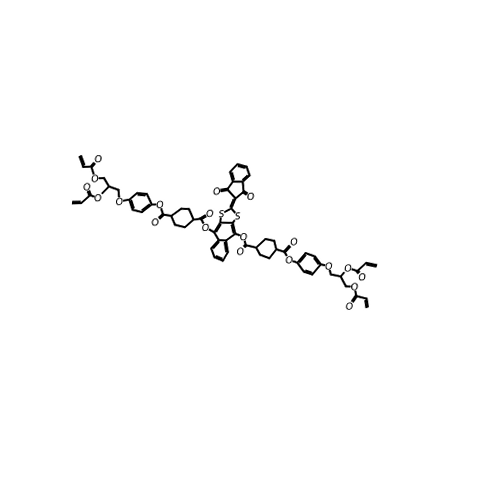 C=CC(=O)OCC(COc1ccc(OC(=O)C2CCC(C(=O)Oc3c4c(c(OC(=O)C5CCC(C(=O)Oc6ccc(OCC(COC(=O)C=C)OC(=O)C=C)cc6)CC5)c5ccccc35)SC(=C3C(=O)c5ccccc5C3=O)S4)CC2)cc1)OC(=O)C=C